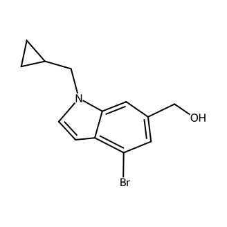 OCc1cc(Br)c2ccn(CC3CC3)c2c1